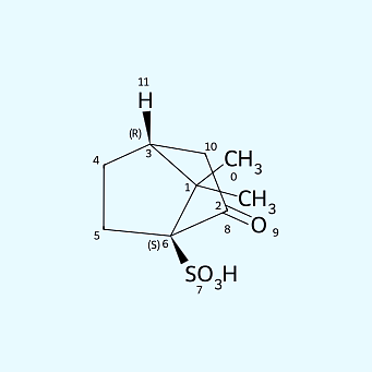 CC1(C)[C@@H]2CC[C@@]1(S(=O)(=O)O)C(=O)C2